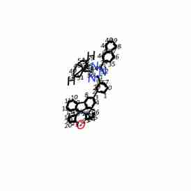 c1cc(-c2ccc3c(c2)-c2ccccc2C32c3ccccc3Oc3ccccc32)cc(-c2nc(-c3ccc4ccccc4c3)nc(C34CC5C[C@H](C3)C[C@@H](C5)C4)n2)c1